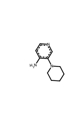 Nc1ccncc1N1CCCCC1